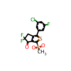 CS(=O)(=O)c1sc(-c2cc(F)cc(Cl)c2)c2c1C(=O)C(F)(F)C2